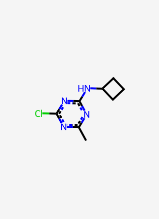 Cc1nc(Cl)nc(NC2CCC2)n1